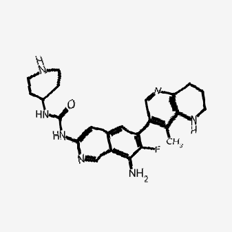 Cc1c(-c2cc3cc(NC(=O)NC4CCNCC4)ncc3c(N)c2F)cnc2c1NCCC2